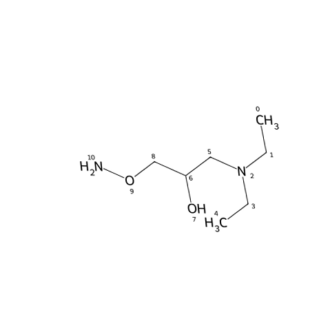 CCN(CC)CC(O)CON